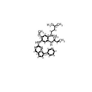 C=CC(=O)Nc1cc(Nc2ncc3ccc(-c4cccnc4)n3n2)c(OC)cc1N(C)CCC(C)C